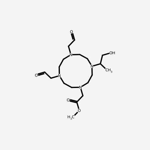 COC(=O)CN1CCN(CC=O)CCN(CC=O)CCN(C(C)CO)CC1